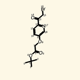 CC(C)(C)OC(=O)COc1ccc(C(=O)CBr)nc1